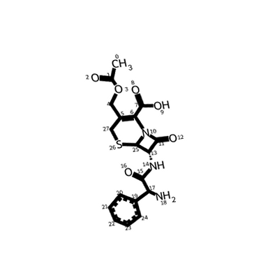 CC(=O)OCC1=C(C(=O)O)N2C(=O)[C@H](NC(=O)C(N)c3ccccc3)C2SC1